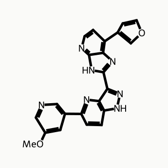 COc1cncc(-c2ccc3[nH]nc(-c4nc5c(-c6ccoc6)ccnc5[nH]4)c3n2)c1